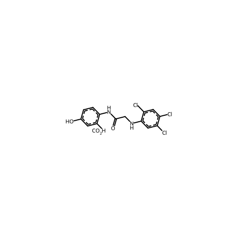 O=C(CNc1cc(Cl)c(Cl)cc1Cl)Nc1ccc(O)cc1C(=O)O